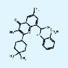 Cc1cc(C(C)Nc2ccccc2C(=O)O)c2nc(N3CCC(C)(C)CC3)c(C#N)c(=O)n2c1